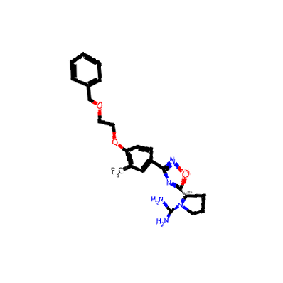 NC(N)N1CCC[C@H]1c1nc(-c2ccc(OCCOCc3ccccc3)c(C(F)(F)F)c2)no1